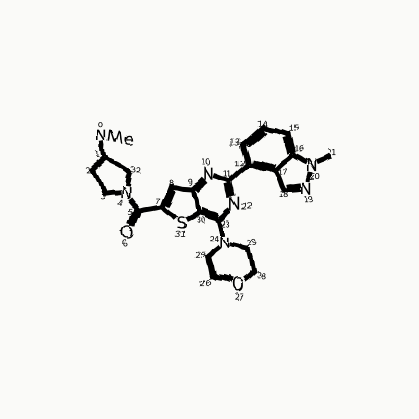 CNC1CCN(C(=O)c2cc3nc(-c4cccc5c4cnn5C)nc(N4CCOCC4)c3s2)C1